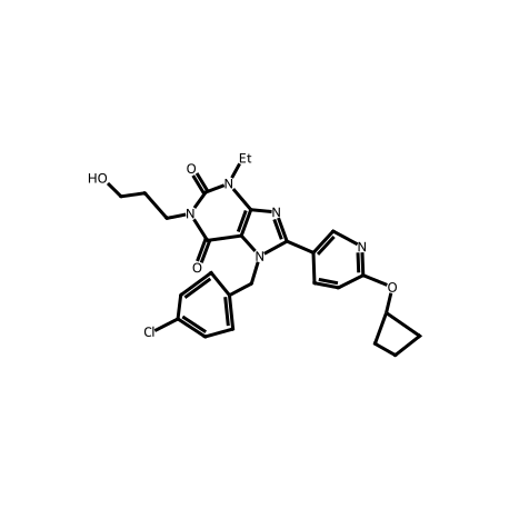 CCn1c(=O)n(CCCO)c(=O)c2c1nc(-c1ccc(OC3CCC3)nc1)n2Cc1ccc(Cl)cc1